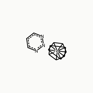 [CH]12[CH]3[CH]4[CH]5[CH]1[Fe]23451678[CH]2[CH]1[CH]6[CH]7[CH]28.c1cnnnc1